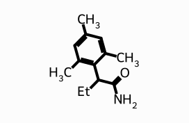 CCC(C(N)=O)c1c(C)cc(C)cc1C